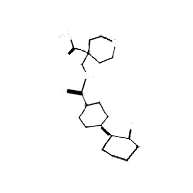 CNC(=O)C1(CNC(=O)C2CCC(=C3CCCCC3F)CC2)CCOCC1